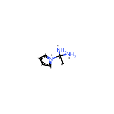 CC(N)(N)n1cccc1